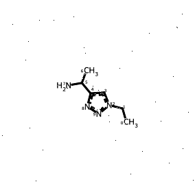 CCn1cc(C(C)N)nn1